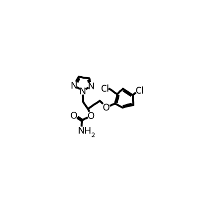 NC(=O)OC(COc1ccc(Cl)cc1Cl)Cn1nccn1